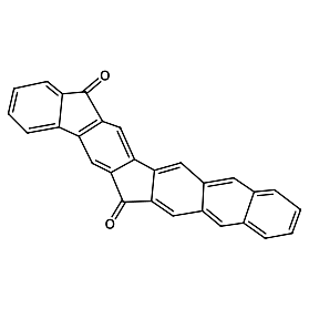 O=c1c2ccccc2c2cc3c(=O)c4cc5cc6ccccc6cc5cc4c3cc12